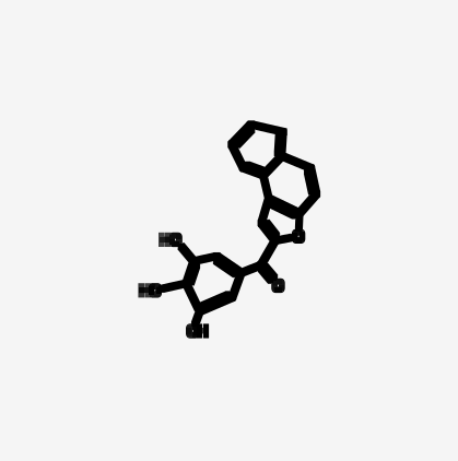 O=C(c1cc(O)c(O)c(O)c1)c1cc2c(ccc3ccccc32)o1